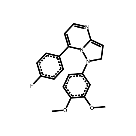 COc1ccc(N2CC=C3N=CC=C(c4ccc(F)cc4)N32)cc1OC